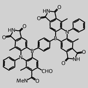 CNC(=O)c1c(C=O)cc2c(c1C)N(c1ccccc1)c1c(cc3c(c1C)C(=O)NC3=O)B2c1ccc(B2c3cc4c(c(C)c3N(c3ccccc3)c3c2cc2c(c3C)C(=O)NC2=O)C(=O)NC4=O)cc1